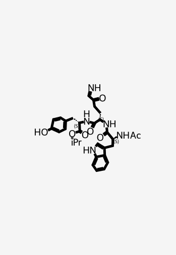 CC(=O)N[C@@H](Cc1c[nH]c2ccccc12)C(=O)N[C@@H](CCC(=O)C=N)C(=O)N[C@@H](Cc1ccc(O)cc1)C(=O)OC(C)C